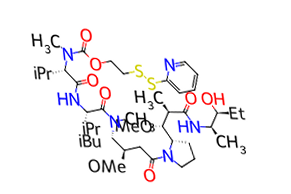 CC[C@H](C)[C@@H]([C@@H](CC(=O)N1CCC[C@H]1[C@H](OC)[C@@H](C)C(=O)N[C@H](C)[C@@H](O)CC)OC)N(C)C(=O)[C@@H](NC(=O)[C@H](C(C)C)N(C)C(=O)OCCSSc1ccccn1)C(C)C